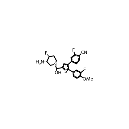 COc1ccc(-c2sc(C(O)N3CC[C@H](F)[C@@H](N)C3)cc2-c2ccc(C#N)c(F)c2)cc1F